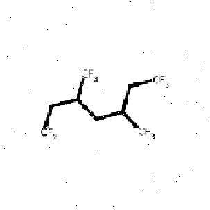 FC(F)(F)CC(CC(CC(F)(F)F)C(F)(F)F)C(F)(F)F